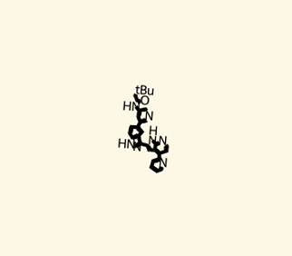 CC(C)(C)CC(=O)Nc1cncc(-c2ccc3[nH]nc(-c4cc5c(-c6ccccn6)ccnc5[nH]4)c3c2)c1